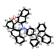 c1ccc([Si](c2ccccc2)(c2ccccc2)c2ccc(N(c3cccc4ccccc34)c3cc4ccccc4c4oc5ccccc5c34)cc2)cc1